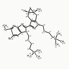 COc1nc2nc(-c3nn(COCC[Si](C)(C)C)c4c3C[C@@H]3C[C@]3(C)C4)n(COCC[Si](C)(C)C)c2cc1Br